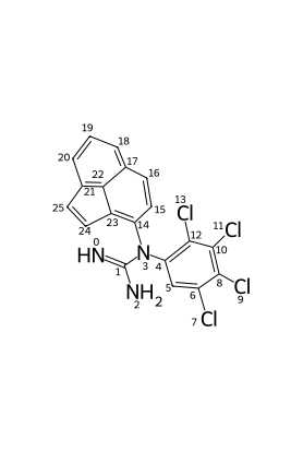 N=C(N)N(c1cc(Cl)c(Cl)c(Cl)c1Cl)c1ccc2cccc3c2c1C=C3